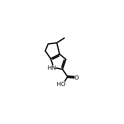 CC1CCc2[nH]c(C(=O)O)cc21